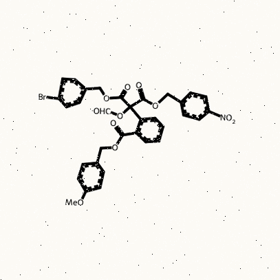 COc1ccc(COC(=O)c2ccccc2C(O[C]=O)(C(=O)OCc2ccc(Br)cc2)C(=O)OCc2ccc([N+](=O)[O-])cc2)cc1